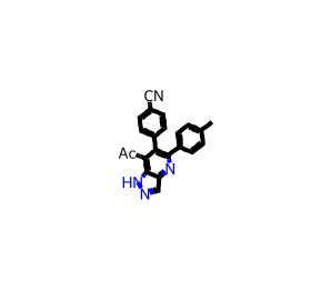 CC(=O)c1c(-c2ccc(C#N)cc2)c(-c2ccc(C)cc2)nc2cn[nH]c12